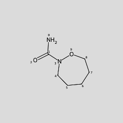 NC(=O)N1CCCCCO1